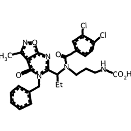 CCC(c1nc2onc(C)c2c(=O)n1Cc1ccccc1)N(CCCNC(=O)O)C(=O)c1ccc(Cl)c(Cl)c1